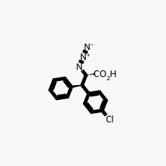 [N-]=[N+]=N[C@H](C(=O)O)[C@H](c1ccccc1)c1ccc(Cl)cc1